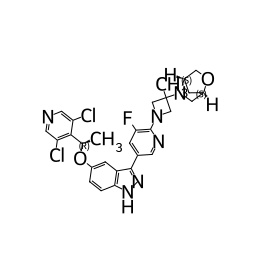 C[C@@H](Oc1ccc2[nH]nc(-c3cnc(N4CC(C)(N5C[C@@H]6C[C@H]5CO6)C4)c(F)c3)c2c1)c1c(Cl)cncc1Cl